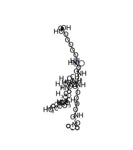 CC(C)[C@H](NC(=O)[C@@H](CCCCNC(=O)COC1CCCCC/C(NCCOCCOCCOCCOCCOCCP(=O)(O)O)=C\1N=N)NC(=O)CCOCCOCCOCCOCCNC(=O)CCC(=O)N1Cc2ccccc2C#Cc2ccccc21)C(=O)N[C@@H](C)C(=O)Nc1ccc2c(c1)[C@@]1(C)CCC[C@](C)(C(=O)NC(=O)[C@@]3(C)CCC[C@]4(C)c5cc(O)ccc5CC[C@@H]34)C1CC2